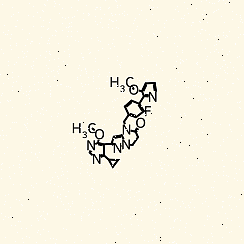 COc1cccnc1-c1ccc(CN2C(=O)CCn3nc(-c4c(OC)ncnc4C4CC4)cc32)cc1F